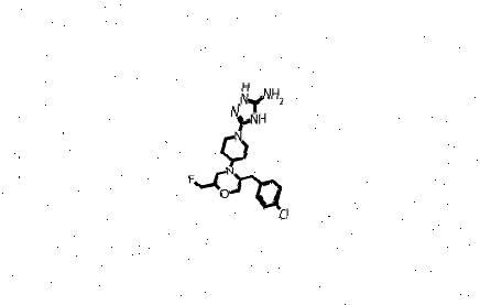 NC1NN=C(N2CCC(N3CC(CF)OCC3Cc3ccc(Cl)cc3)CC2)N1